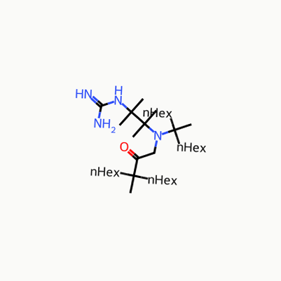 CCCCCCC(C)(CCCCCC)C(=O)CN(C(C)(CCCCCC)CCCCCC)C(C)(C)C(C)(C)NC(=N)N